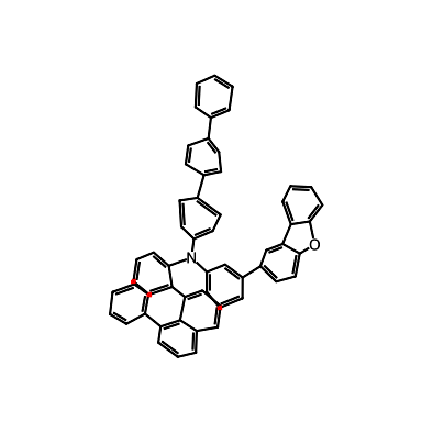 c1ccc(-c2ccc(-c3ccc(N(c4cccc(-c5ccc6oc7ccccc7c6c5)c4)c4ccccc4-c4cccc5cccc(-c6ccccc6)c45)cc3)cc2)cc1